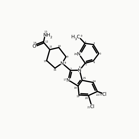 Cc1cccc(-n2c(N3CCC(C(N)=O)CC3)nc3cc(Cl)c(Cl)cc32)n1